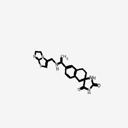 C=C(NCC1=CSC2=NCCN12)c1ccc2c(c1)CCC1(C2)NC(=O)NC1=O